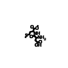 COC(=O)C(CCSC)NC(=O)C(N)CC(=O)O